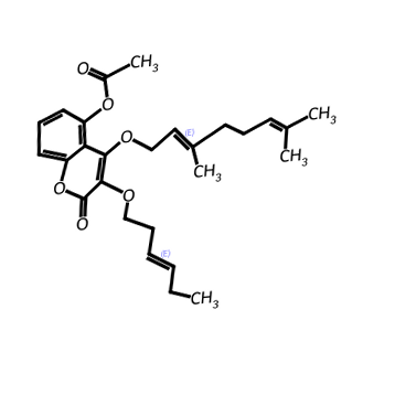 CC/C=C/CCOc1c(OC/C=C(\C)CCC=C(C)C)c2c(OC(C)=O)cccc2oc1=O